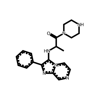 CC(Nc1c(-c2ccccc2)nc2cnccn12)C(=O)N1CCNCC1